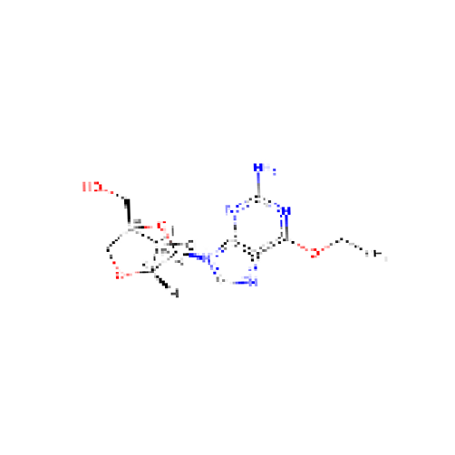 CCOc1nc(N)nc2c1ncn2[C@@H]1O[C@@]2(CO)CO[C@@H]1[C@@H]2C